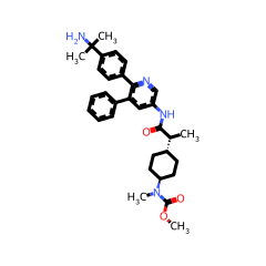 COC(=O)N(C)[C@H]1CC[C@H](C(C)C(=O)Nc2cnc(-c3ccc(C(C)(C)N)cc3)c(-c3ccccc3)c2)CC1